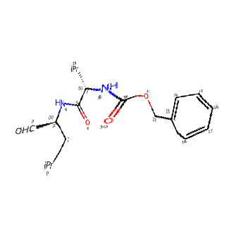 CC(C)C[C@@H](C=O)NC(=O)[C@@H](NC(=O)OCc1ccccc1)C(C)C